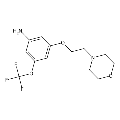 Nc1cc(OCCN2CCOCC2)cc(OC(F)(F)F)c1